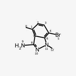 Cc1ccc(Br)c2c1c(N)nn2C